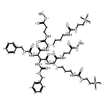 CC(C)(C)OC(=O)CCNC(=O)[C@H](CCCCNC(=O)OCC[Si](C)(C)C)NC(=O)C(NC(=O)OCc1ccccc1)C(NC(=O)OCc1ccccc1)C(=O)N[C@@H](CCCCNC(=O)OCC[Si](C)(C)C)C(=O)NCCC(=O)OC(C)(C)C